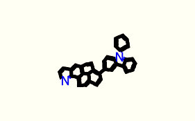 C1=CC2=CC3=C4C(=CC=C5C=CC(c6ccc7c(c6)c6ccccc6n7-c6ccccc6)=C(C=C3)C54)C2N=C1